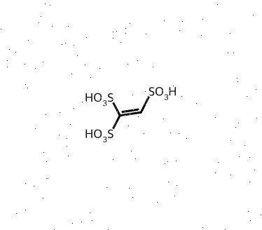 O=S(=O)(O)C=C(S(=O)(=O)O)S(=O)(=O)O